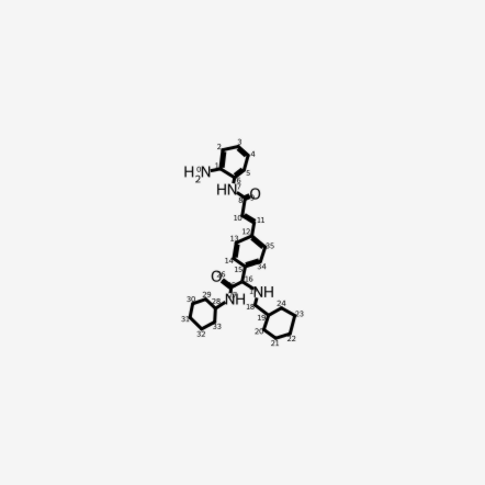 Nc1ccccc1NC(=O)C=Cc1ccc(C(NCC2CCCCC2)C(=O)NC2CCCCC2)cc1